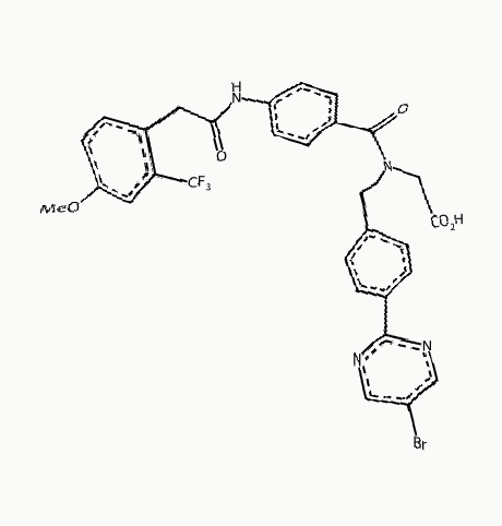 COc1ccc(CC(=O)Nc2ccc(C(=O)N(CC(=O)O)Cc3ccc(-c4ncc(Br)cn4)cc3)cc2)c(C(F)(F)F)c1